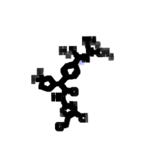 CN(N)/N=C(\N)c1ccc(C(C(=O)Nc2nc(Cl)c(C=O)s2)C2CCC(F)(F)C2)cc1